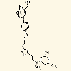 C=NN(/C=C(\N)CO)C1=CC=C(OCCCn2cc(CCN(C)[C@H]3C[C@@H](C)O[C@@H](O)C3)nn2)CC1